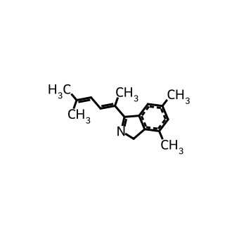 CC(C)=C/C=C(\C)C1=NCc2c(C)cc(C)cc21